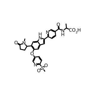 CC(NC(=O)c1ccc(-c2cc3cc(Oc4ccc(S(C)(=O)=O)nc4)c(C4CCC(=O)N4C)cc3[nH]2)nc1)C(=O)O